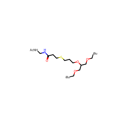 CCC(C)COCC(COCC(C)CC)OCCCSCCC(=O)NCNC(C)=O